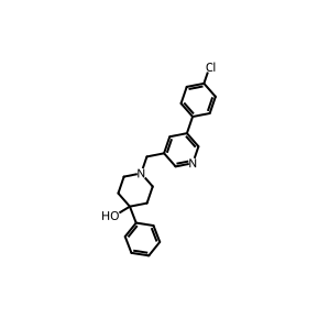 OC1(c2ccccc2)CCN(Cc2cncc(-c3ccc(Cl)cc3)c2)CC1